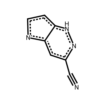 N#Cc1cc2nccc-2[nH]n1